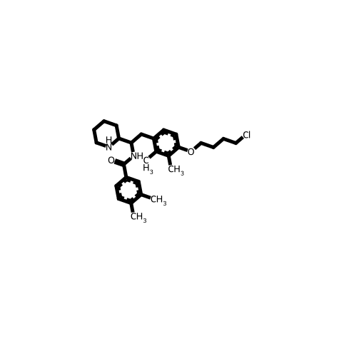 Cc1ccc(C(=O)NC(Cc2ccc(OCCCCCl)c(C)c2C)C2CCCCN2)cc1C